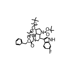 CC(C)(C)OC(=O)N1CC(O[Si](C)(C)C(C)(C)C)C(OS(C)(=O)=O)C1[C@H](CNC(=O)OCc1ccccc1)c1c[nH]c2cc(F)ccc12